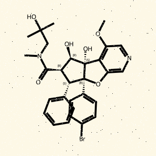 COc1cncc2c1[C@]1(O)[C@H](O)[C@H](C(=O)N(C)CC(C)(C)O)[C@@H](c3ccccc3)[C@]1(c1ccc(Br)cc1)O2